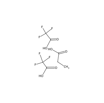 CCC(=O)O.O=C(O)C(F)(F)F.O=C(O)C(F)(F)F